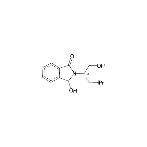 CC(C)C[C@@H](CO)N1C(=O)c2ccccc2C1O